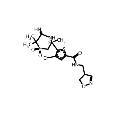 CC1(C)C(=N)N[C@](C)(c2sc(C(=O)NCC3C=NOC3)cc2Cl)CS1(=O)=O